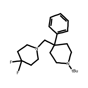 CC(C)(C)N1CCC(CN2CCC(F)(F)CC2)(c2ccccc2)CC1